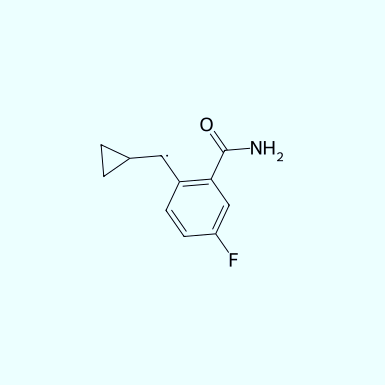 NC(=O)c1cc(F)ccc1[CH]C1CC1